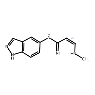 CN/C=C\C(=N)Nc1ccc2[nH]ncc2c1